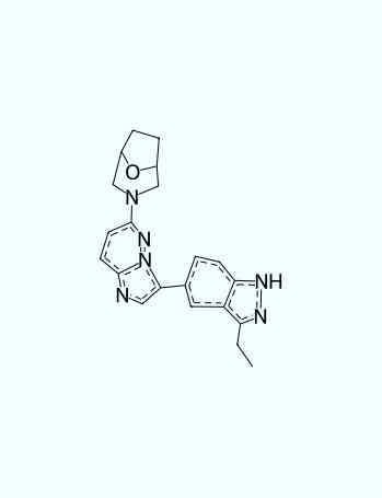 CCc1n[nH]c2ccc(-c3cnc4ccc(N5CC6CCC(C5)O6)nn34)cc12